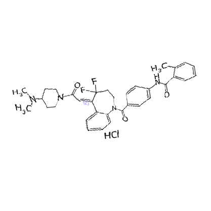 Cc1ccccc1C(=O)Nc1ccc(C(=O)N2CCC(F)(F)/C(=C\C(=O)N3CCC(N(C)C)CC3)c3ccccc32)cc1.Cl